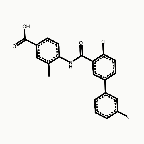 Cc1cc(C(=O)O)ccc1NC(=O)c1cc(-c2cccc(Cl)c2)ccc1Cl